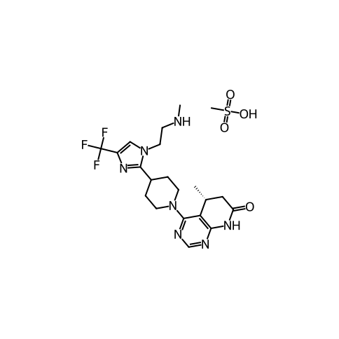 CNCCn1cc(C(F)(F)F)nc1C1CCN(c2ncnc3c2[C@H](C)CC(=O)N3)CC1.CS(=O)(=O)O